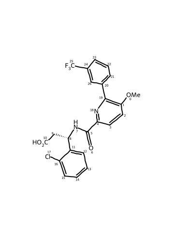 COc1ccc(C(=O)N[C@@H](CC(=O)O)c2ccccc2Cl)nc1-c1cccc(C(F)(F)F)c1